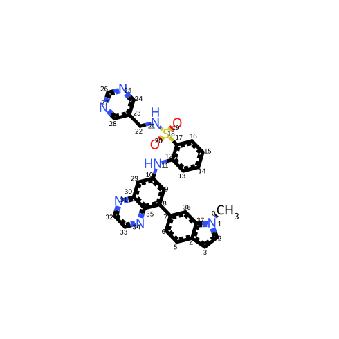 Cn1ccc2ccc(-c3cc(Nc4ccccc4S(=O)(=O)NCc4cncnc4)cc4nccnc34)cc21